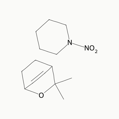 CC1(C)OC2C=CC1CC2.O=[N+]([O-])N1CCCCC1